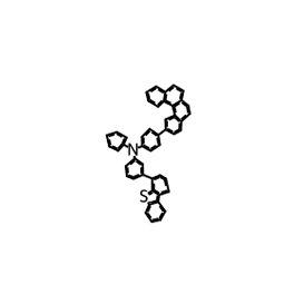 c1ccc(N(c2ccc(-c3ccc4ccc5ccc6ccccc6c5c4c3)cc2)c2cccc(-c3cccc4c3sc3ccccc34)c2)cc1